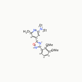 CCN(CC)c1cc(-c2nc(-c3cccc(OC)c3OC)no2)cc(C)n1